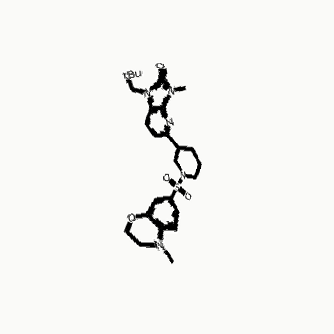 CN1CCOc2cc(S(=O)(=O)N3CCCC(c4ccc5c(n4)n(C)c(=O)n5CC(C)(C)C)C3)ccc21